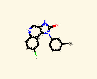 Cc1cccc(-n2c(=O)[nH]c3cnc4ccc(Cl)cc4c32)c1